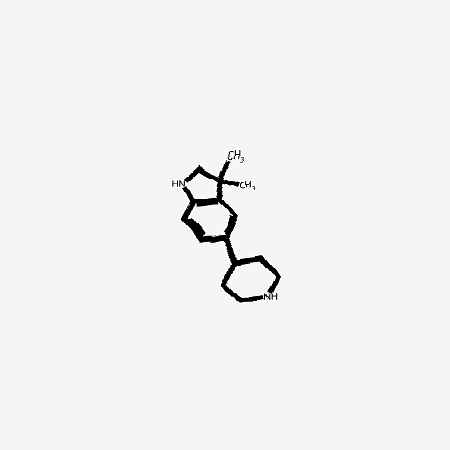 CC1(C)CNc2ccc(C3CCNCC3)cc21